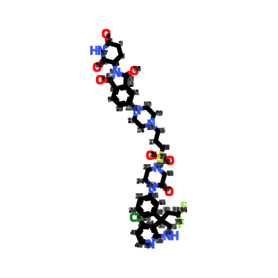 O=C1CCC(N2C(=O)c3ccc(N4CCN(CCCS(=O)(=O)N5CCN(c6cccc(C7(CC(F)F)CNc8nccc(Cl)c87)c6)C(=O)C5)CC4)cc3C2=O)C(=O)N1